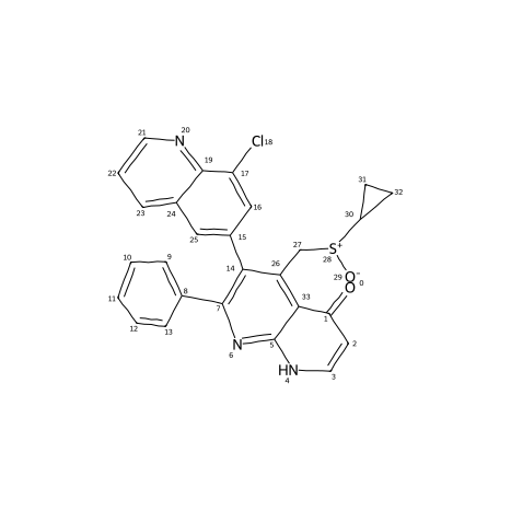 O=c1cc[nH]c2nc(-c3ccccc3)c(-c3cc(Cl)c4ncccc4c3)c(C[S+]([O-])C3CC3)c12